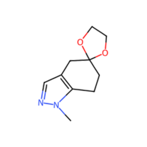 Cn1ncc2c1CCC1(C2)OCCO1